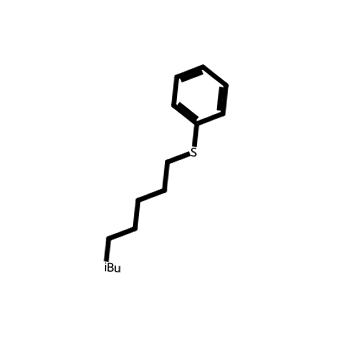 CCC(C)CCCCCSc1ccccc1